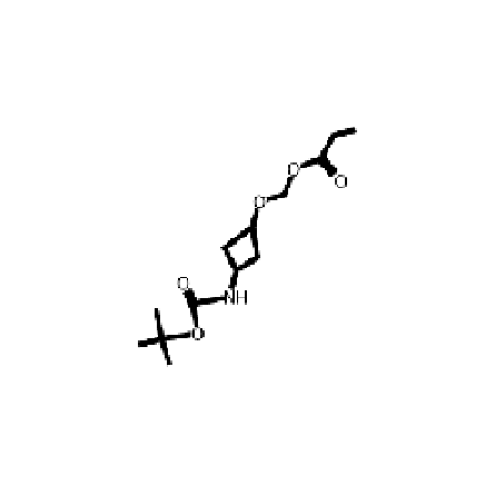 CCC(=O)OCOC1CC(NC(=O)OC(C)(C)C)C1